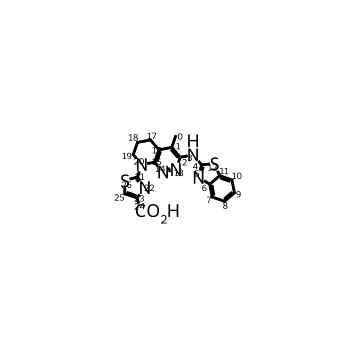 Cc1c(Nc2nc3ccccc3s2)nnc2c1CCCN2c1nc(C(=O)O)cs1